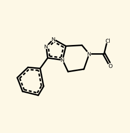 O=C(Cl)N1CCn2c(nnc2-c2ccccc2)C1